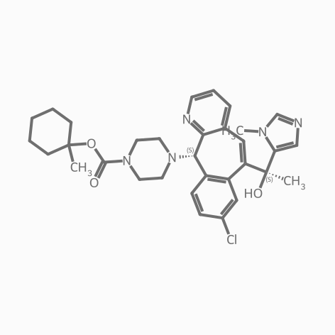 Cn1cncc1[C@@](C)(O)C1=Cc2cccnc2[C@@H](N2CCN(C(=O)OC3(C)CCCCC3)CC2)c2ccc(Cl)cc21